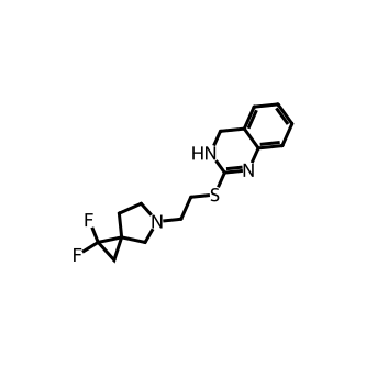 FC1(F)CC12CCN(CCSC1=Nc3ccccc3CN1)C2